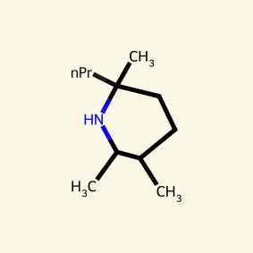 CCCC1(C)CCC(C)C(C)N1